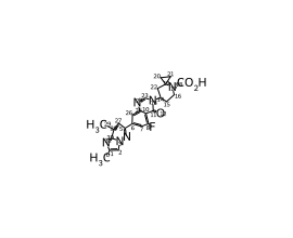 Cc1cn2nc(-c3cc(F)c4c(=O)n(C5CCN(C(=O)O)C6(CC6)C5)cnc4c3)cc(C)c2n1